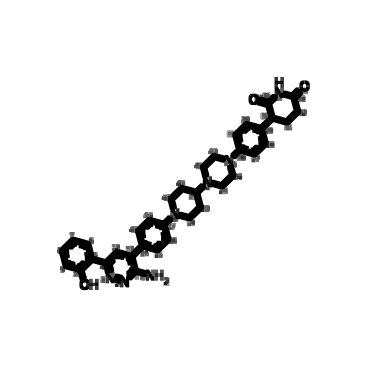 Nc1nnc(-c2ccccc2O)cc1-c1ccc(N2CCC(N3CCN(c4ccc(C5CCC(=O)NC5=O)cc4)CC3)CC2)cc1